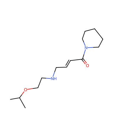 CC(C)OCCNC/C=C/C(=O)N1CCCCC1